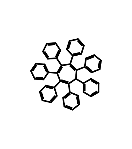 c1ccc([C]2C(c3ccccc3)=C(c3ccccc3)C(c3ccccc3)=C(c3ccccc3)C(c3ccccc3)=C2c2ccccc2)cc1